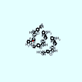 Cn1cc(-c2ccc(-c3n[nH]c4nc(N5CC[C@@H]6[C@H](C5)[C@@]6(CN)c5ccccc5F)cnc34)c(Cl)c2)cn1.NC[C@]1(c2ccccc2F)[C@@H]2CCN(c3cnc4c(-c5ccc(-c6ccn[nH]6)cc5Cl)n[nH]c4n3)C[C@@H]21.NC[C@]1(c2ccccc2F)[C@@H]2CCN(c3cnc4c(-c5ccc(-c6noc(O)n6)cc5Cl)n[nH]c4n3)C[C@@H]21